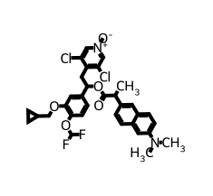 CC(C(=O)OC(Cc1c(Cl)c[n+]([O-])cc1Cl)c1ccc(OC(F)F)c(OCC2CC2)c1)c1ccc2cc(N(C)C)ccc2c1